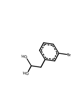 OC(O)Cc1cccc(Br)c1